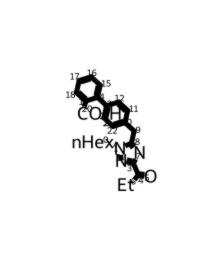 CCCCCCn1nc(C(=O)CC)nc1Cc1ccc(-c2ccccc2C(=O)O)cc1